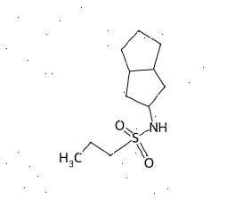 CCCS(=O)(=O)NC1CC2CCCC2C1